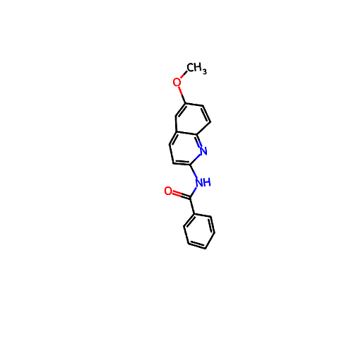 COc1ccc2nc(NC(=O)c3ccccc3)ccc2c1